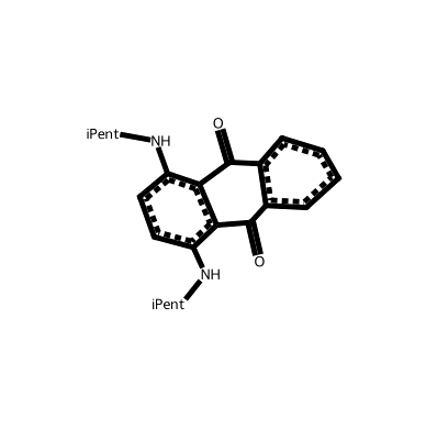 CCCC(C)Nc1ccc(NC(C)CCC)c2c1C(=O)c1ccccc1C2=O